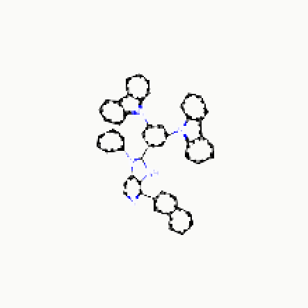 c1ccc(N2c3ccnc(-c4ccc5ccccc5c4)c3NC2c2cc(-n3c4ccccc4c4ccccc43)cc(-n3c4ccccc4c4ccccc43)c2)cc1